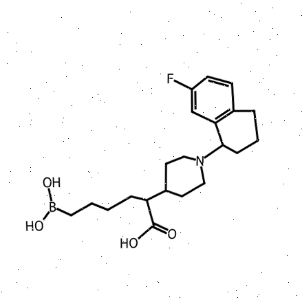 O=C(O)C(CCCCB(O)O)C1CCN(C2CCCc3ccc(F)cc32)CC1